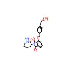 O=C1NCCCCC1N1C(=O)c2cccc(OCc3ccc(CO)cc3)c2C1=O